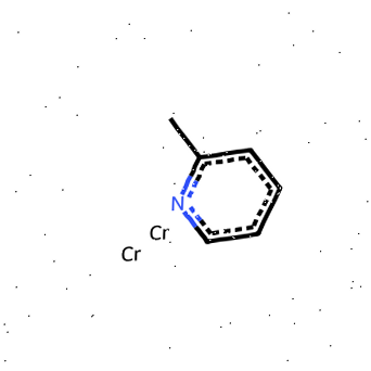 Cc1ccccn1.[Cr].[Cr]